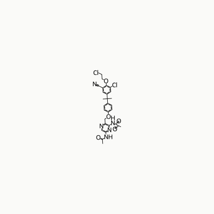 CC(=O)Nc1cnc(COc2ccc(C(C)(C)c3cc(Cl)c(OCCCl)c(C#N)c3)cc2)c(NS(C)(=O)=O)n1